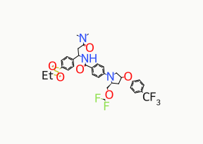 CCS(=O)(=O)c1ccc(C(CC(=O)N(C)C)NC(=O)c2ccc(N3C[C@@H](Oc4ccc(C(F)(F)F)cc4)C[C@H]3COC(F)F)cc2)cc1